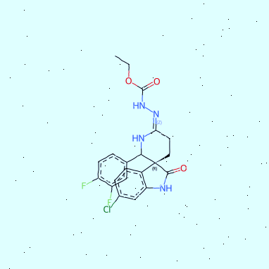 CCOC(=O)N/N=C1/CC[C@]2(C(=O)Nc3cc(Cl)ccc32)C(c2ccc(F)c(F)c2)N1